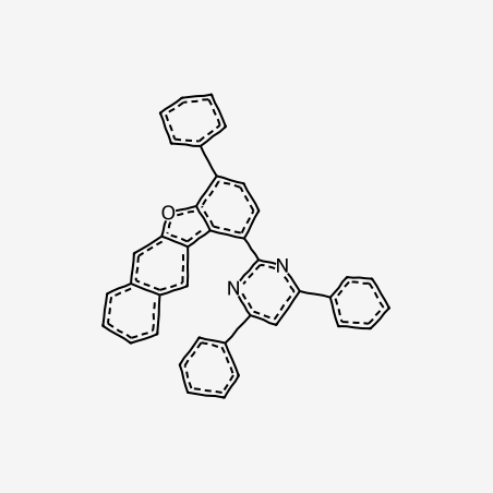 c1ccc(-c2cc(-c3ccccc3)nc(-c3ccc(-c4ccccc4)c4oc5cc6ccccc6cc5c34)n2)cc1